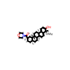 CO[C@]1(C)C(O)=CC=C2C1=CC=C1[C@@]2(C)CC[C@@]2(C)[C@@H]3C[C@](C)(C(=O)N4CCOCC4)CC[C@]3(C)CC[C@]12C